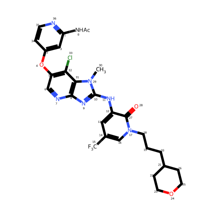 CC(=O)Nc1cc(Oc2cnc3nc(Nc4cc(C(F)(F)F)cn(CCCC5CCOCC5)c4=O)n(C)c3c2Cl)ccn1